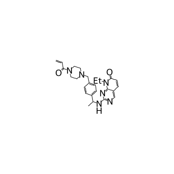 C=CC(=O)N1CCN(Cc2ccc(C(C)Nc3ncc4ccc(=O)n(CC)c4n3)cc2)CC1